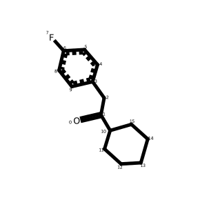 O=C(Cc1ccc(F)cc1)C1CCCCC1